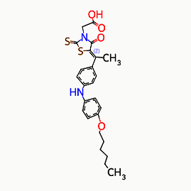 CCCCCCOc1ccc(Nc2ccc(/C(C)=C3\SC(=S)N(CC(=O)O)C3=O)cc2)cc1